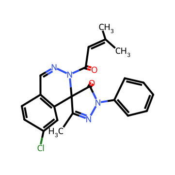 CC(C)=CC(=O)N1N=Cc2ccc(Cl)cc2C12C(=O)N(c1ccccc1)N=C2C